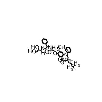 CCCCC1(CC)CN(c2ccccc2)c2cc(SC)c(OCC(=O)NC(C(=O)NC[C@@H](O)CO)c3ccccc3)cc2[N+]([O-])([O-])C1